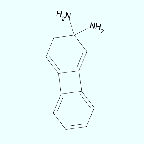 NC1(N)C=C2C(=CC1)c1ccccc12